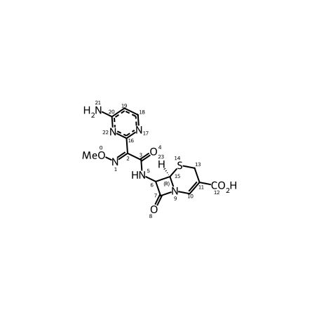 CON=C(C(=O)NC1C(=O)N2C=C(C(=O)O)CS[C@H]12)c1nccc(N)n1